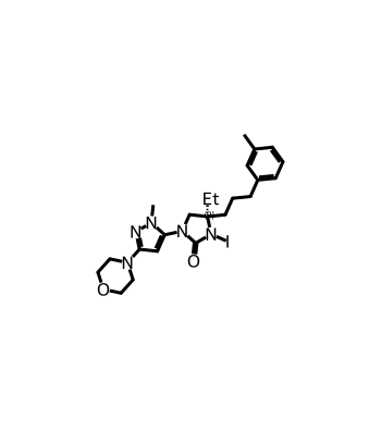 CC[C@@]1(CCCc2cccc(C)c2)CN(c2cc(N3CCOCC3)nn2C)C(=O)N1I